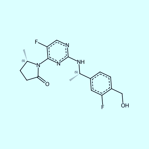 C[C@H](Nc1ncc(F)c(N2C(=O)CC[C@@H]2C)n1)c1ccc(CO)c(F)c1